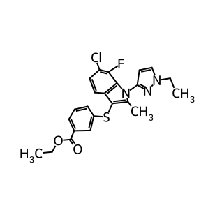 CCOC(=O)c1cccc(Sc2c(C)n(-c3ccn(CC)n3)c3c(F)c(Cl)ccc23)c1